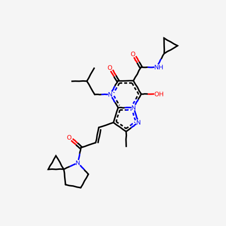 Cc1nn2c(O)c(C(=O)NC3CC3)c(=O)n(CC(C)C)c2c1C=CC(=O)N1CCCC12CC2